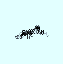 CC(C)(C)OC(=O)Nc1ccccc1CC(=O)NC1C(=O)N2C(C(=O)O)=C(CSc3nnnn3CCNC(N)=O)CS[C@H]12